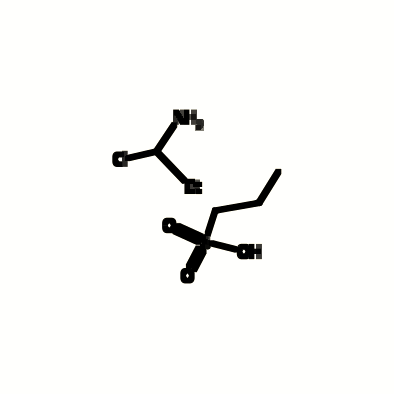 CCC(N)Cl.CCCS(=O)(=O)O